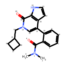 CN(C)C(=O)c1ccccc1-c1cn(CC2CCC2)c(=O)c2[nH]ccc12